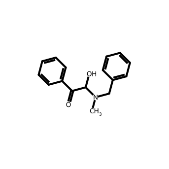 CN(Cc1ccccc1)C(O)C(=O)c1ccccc1